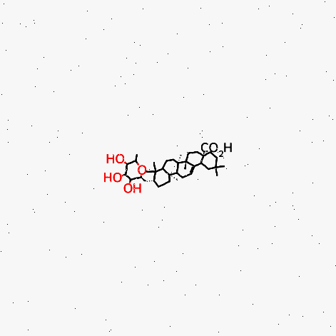 CC1O[C@@H](C[C@H]2CC[C@@]3(C)C(CC[C@]4(C)C3CC=C3C5CC(C)(C)CC[C@]5(C(=O)O)CC[C@]34C)C2(C)C)C(O)C(O)[C@H]1O